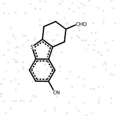 N#Cc1ccc2sc3c(c2c1)CC(C=O)CC3